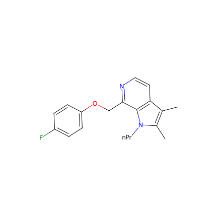 CCCn1c(C)c(C)c2ccnc(COc3ccc(F)cc3)c21